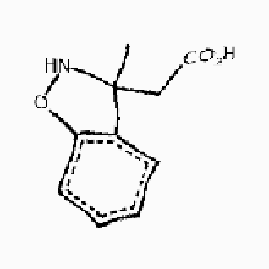 CC1(CC(=O)O)NOc2ccccc21